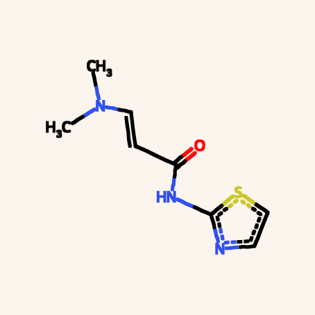 CN(C)/C=C/C(=O)Nc1nccs1